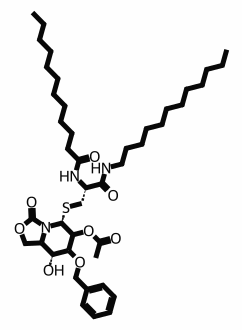 CCCCCCCCCCCCNC(=O)[C@H](CS[C@@H]1C(OC(C)=O)C(OCc2ccccc2)[C@H](O)C2COC(=O)N21)NC(=O)CCCCCCCCCCC